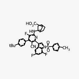 Cc1ccc(S(=O)(=O)n2cc(-c3nc(NC4C5CCC(CC5)C4C(=O)O)c(F)c(-c4ccc(C(C)(C)C)cc4)c3C#N)c3cc(F)cc(F)c32)cc1